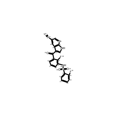 [C-]#[N+]c1cnc2[nH]cc(C(=O)c3cccc(NS(=O)(=O)c4ccccc4F)c3F)c2c1